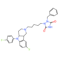 O=c1[nH]c(=O)n(Cc2ccccc2)n1CCCCCN1CCC2C(C1)c1cc(F)ccc1N2c1ccc(F)cc1